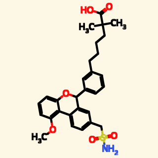 COc1cccc2c1-c1ccc(CS(N)(=O)=O)cc1C(c1cccc(CCCCC(C)(C)C(=O)O)c1)O2